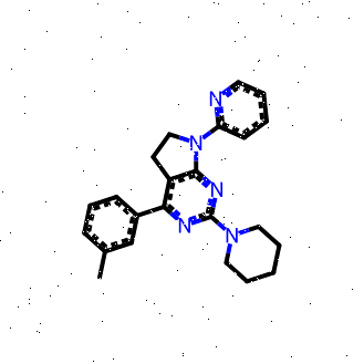 Cc1cccc(-c2nc(N3CCCCC3)nc3c2CCN3c2ccccn2)c1